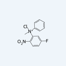 C[N+](Cl)(c1ccccc1)c1cc(F)ccc1[N+](=O)[O-]